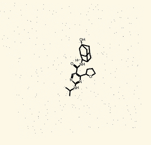 CC(C)Nc1ncc(C(=O)N[C@H]2C3CC4CC2C[C@@](O)(C4)C3)c(C2CCCO2)n1